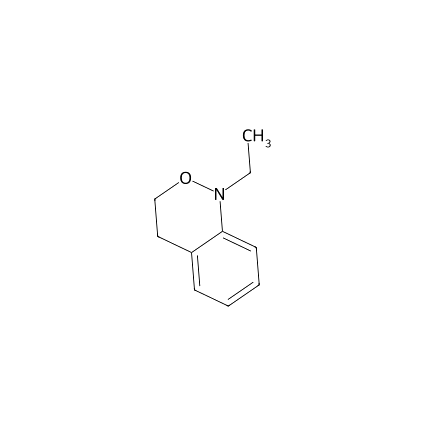 CCN1OCCc2ccccc21